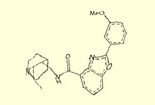 COc1cccc(-c2nc3c(C(=O)NC4C5CCN(CC5)C4I)cccc3o2)c1